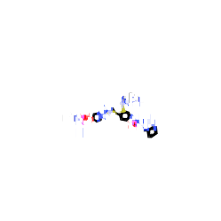 CC(C)NC(=O)OC1CCN(c2ncc(-c3ccc(NC(=O)NCc4ccccc4)cc3SNC(C)(C)C)s2)CC1